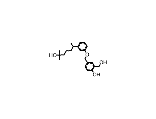 CC(CCCC(C)(C)O)c1cccc(OCc2ccc(O)c(CO)c2)c1